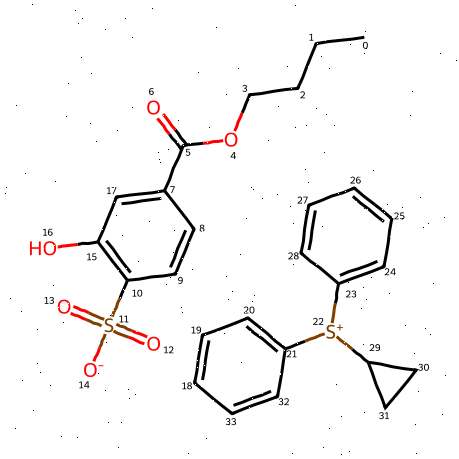 CCCCOC(=O)c1ccc(S(=O)(=O)[O-])c(O)c1.c1ccc([S+](c2ccccc2)C2CC2)cc1